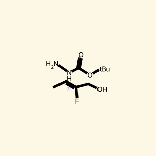 C/C=C(\F)CO.CC(C)(C)OC(=O)NN